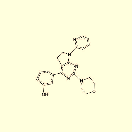 Oc1cccc(-c2nc(N3CCOCC3)nc3c2CCN3c2ccccn2)c1